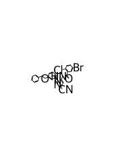 N#Cc1cc(NC(=O)c2cc(Br)ccc2Cl)n(-c2cccc(OCc3ccccc3)c2)n1